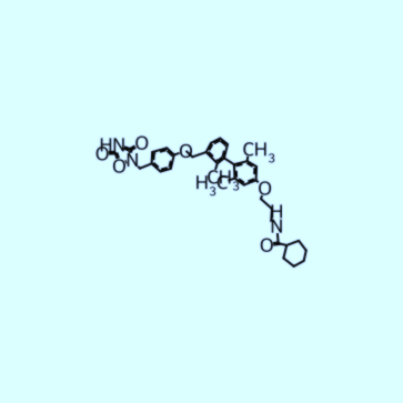 Cc1cc(OCCCNC(=O)C2CCCCC2)cc(C)c1-c1cccc(COc2ccc(Cn3oc(=O)[nH]c3=O)cc2)c1C